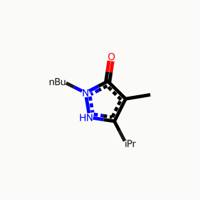 CCCCn1[nH]c(C(C)C)c(C)c1=O